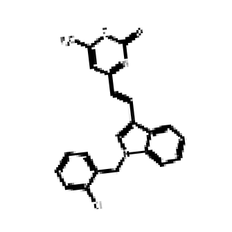 O=c1nc(C=Cc2cn(Cc3ccccc3Cl)c3ccccc23)cc(C(F)(F)F)[nH]1